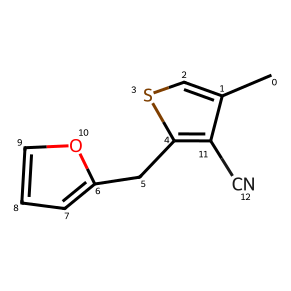 Cc1csc(Cc2ccco2)c1C#N